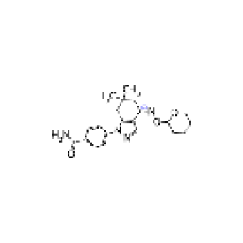 CC1(C)C/C(=N/OC2CCCCO2)c2cnn(-c3ccc(C(N)=O)cc3)c2C1